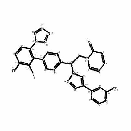 O=c1ccccn1CC(c1ccc(-c2c(-n3cnnn3)ccc(Cl)c2F)cn1)n1cc(-c2ccnc(C(F)(F)F)c2)cn1